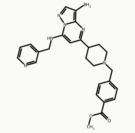 Bc1cnn2c(NCc3cccnc3)cc(C3CCN(Cc4ccc(C(=O)OC)cc4)CC3)nc12